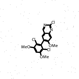 COc1cc2nc(Cl)ncc2cc1-c1c(Cl)c(OC)cc(OC)c1Cl